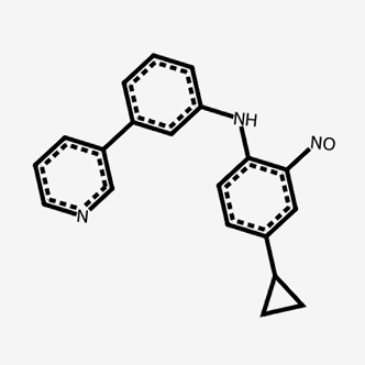 O=Nc1cc(C2CC2)ccc1Nc1cccc(-c2cccnc2)c1